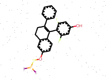 Oc1cc(F)c(C2=C(c3ccccc3)CCc3cc(OSP(I)I)ccc32)c(F)c1